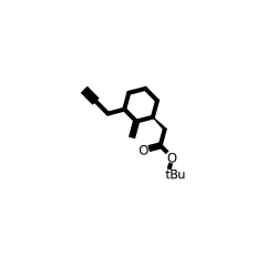 C#CCC1CCC[C@@H](CC(=O)OC(C)(C)C)C1=C